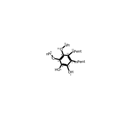 CCCCCc1c(O)c(O)c(OCCC)c(OCCC)c1CCCCC